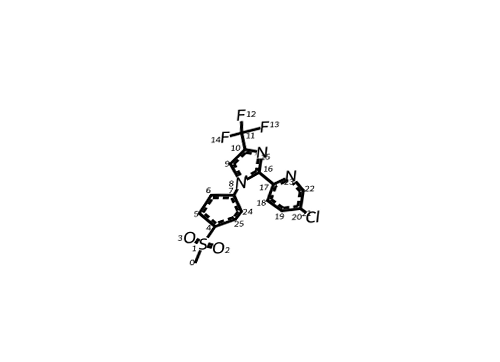 CS(=O)(=O)c1ccc(-n2cc(C(F)(F)F)nc2-c2ccc(Cl)cn2)cc1